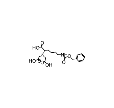 O=C(O)CN(CC(=O)O)C(CCCCNC(=O)OCc1ccccc1)C(=O)O